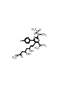 CNC(=O)CC(O)CC(O)/C=C/c1c(-c2ccc(F)cc2)nc(N(C)S(C)(=O)=O)nc1C(C)C